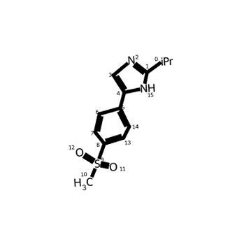 CC(C)c1ncc(-c2ccc(S(C)(=O)=O)cc2)[nH]1